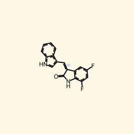 O=C1Nc2c(F)cc(F)cc2/C1=C/c1c[nH]c2ccccc12